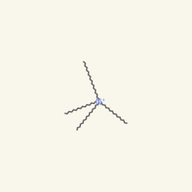 CCCCCCCCCCCCCCCCCC[N+](CCCCCCCCCCCCCCC)(CCCCCCCCCCCCCCC)CCCCCCCCCCCCCCC